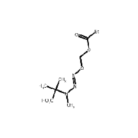 CCC(=O)OCON=NN(C)C(C)(C)C(=O)O